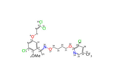 COc1c(Cl)cc(OCC=C(Cl)Cl)cc1/C(C)=N/OCCCCOc1ncc(C(F)(F)F)cc1Cl